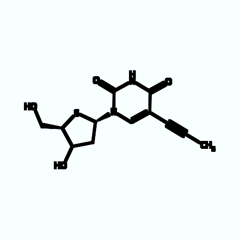 CC#Cc1cn([C@@H]2CC(O)[C@@H](CO)S2)c(=O)[nH]c1=O